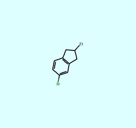 CCC1Cc2ccc(Br)cc2C1